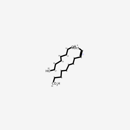 CCCCCCCC/C=C\CCCCCCCC(=O)O.OCCCCCCO